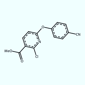 COC(=O)c1ccc(Oc2ccc(C#N)cc2)nc1Cl